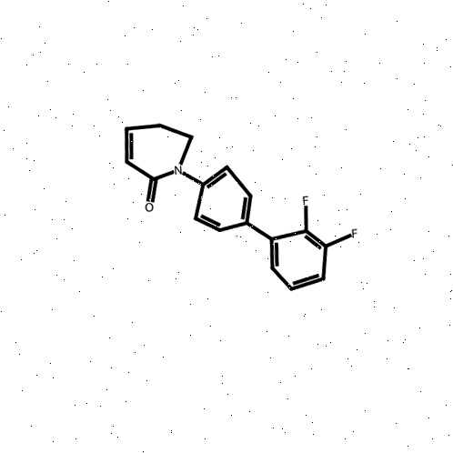 O=C1C=CCCN1c1ccc(-c2cccc(F)c2F)cc1